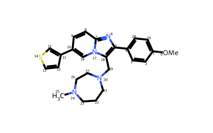 COc1ccc(-c2nc3ccc(-c4ccsc4)cn3c2CN2CCCN(C)CC2)cc1